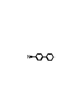 N#Cc1ccc(C2=CC[CH]C=C2)cc1